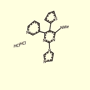 CNc1nc(-n2ccnc2)nc(-c2cccnc2)c1-c1cccs1.Cl.Cl